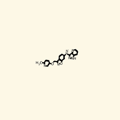 Cc1ccc(OCc2noc3cc(Nc4n[nH]c5cccnc45)ccc23)cn1